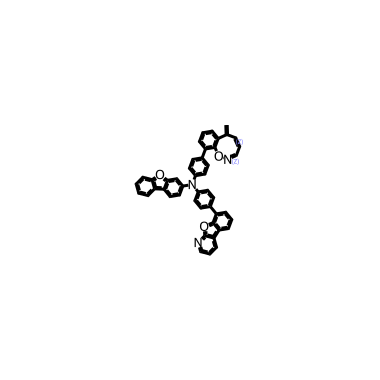 C=C1/C=C\C=N/Oc2c1cccc2-c1ccc(N(c2ccc(-c3cccc4c3oc3ncccc34)cc2)c2ccc3c(c2)oc2ccccc23)cc1